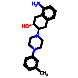 Cc1cccc(N2CCN([C@@H]3Cc4cccc(N)c4C[C@H]3O)CC2)c1